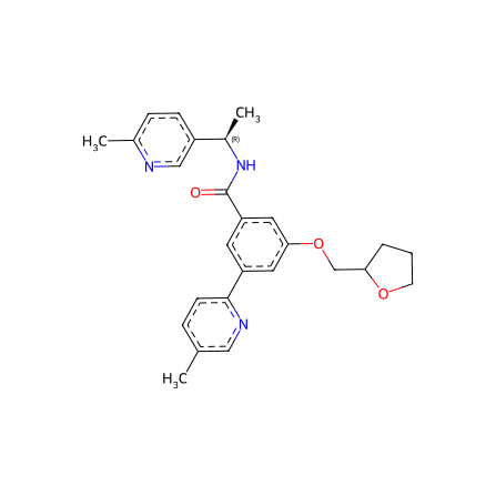 Cc1ccc(-c2cc(OCC3CCCO3)cc(C(=O)N[C@H](C)c3ccc(C)nc3)c2)nc1